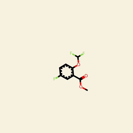 COC(=O)c1cc(F)ccc1OC(F)F